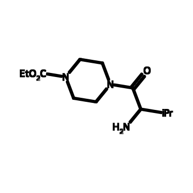 CCOC(=O)N1CCN(C(=O)C(N)C(C)C)CC1